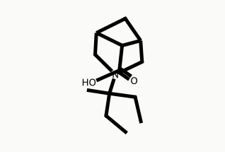 CCC(C)(CC)N1CC2CC(C1)C2C(=O)O